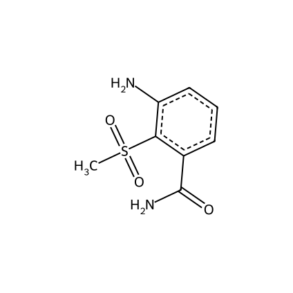 CS(=O)(=O)c1c(N)cccc1C(N)=O